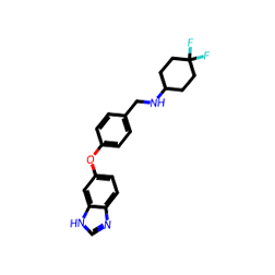 FC1(F)CCC(NCc2ccc(Oc3ccc4nc[nH]c4c3)cc2)CC1